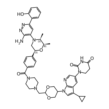 C[C@H]1O[C@@H](c2ccc(C(=O)N3CCN(CC4OCC(n5cc(C6CC6)c6cc(N7CCC(=O)NC7=O)cnc65)CO4)CC3)cc2)CN(c2cc(-c3ccccc3O)nnc2N)[C@H]1C